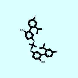 CC(C)c1cc(F)ccc1-c1cc(SC(C)(C)Sc2ccc(O)c(-c3ccc(F)cc3C(C)C)c2)ccc1O